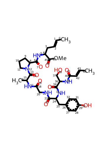 C/C=C/CC(NC(=O)C1CCCN1C(=O)C(C)NC(=O)CNC(=O)C(Cc1ccc(O)cc1)NC(=O)C(CO)NC(=O)/C=C/C)C(=O)OC